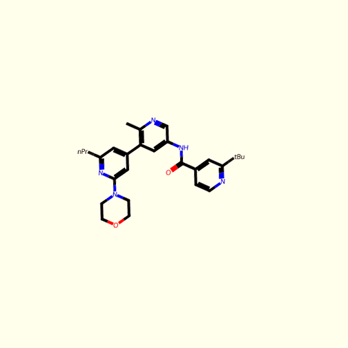 CCCc1cc(-c2cc(NC(=O)c3ccnc(C(C)(C)C)c3)cnc2C)cc(N2CCOCC2)n1